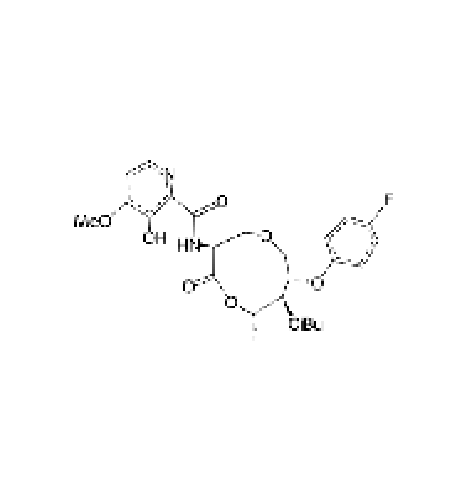 COc1ccnc(C(=O)N[C@H]2COC[C@H](Oc3ccc(F)cc3)[C@@H](OCC(C)C)[C@H](C)OC2=O)c1O